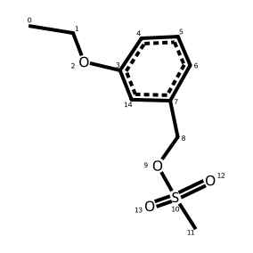 CCOc1cccc(COS(C)(=O)=O)c1